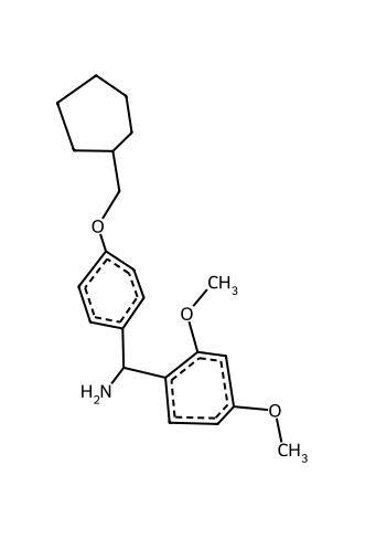 COc1ccc(C(N)c2ccc(OCC3CCCCC3)cc2)c(OC)c1